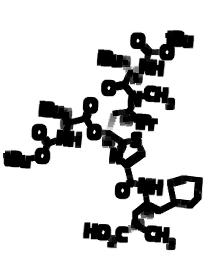 CC[C@H](C)[C@H](NC(=O)OC(C)(C)C)C(=O)O[C@H](C[C@H](C(C)C)N(C)C(=O)[C@@H](NC(=O)OC(C)(C)C)[C@@H](C)CC)c1nc(C(=O)N[C@@H](Cc2ccccc2)C[C@H](C)C(=O)O)cs1